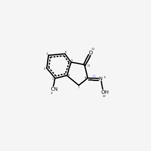 N#Cc1cccc2c1C/C(=N\O)C2=O